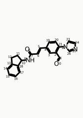 O=Cc1cc(C=CC(=O)NC2CCc3ccccc32)ccc1-n1ccnc1